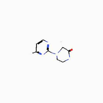 CC(C)[C@@H]1C(=O)NCCN1c1nccc(C(F)(F)F)n1